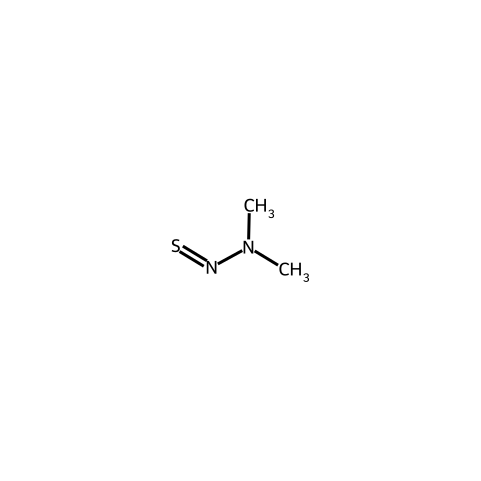 CN(C)N=S